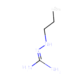 CCCCCCNN=C(N)N